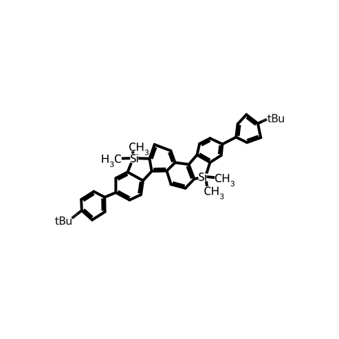 CC(C)(C)c1ccc(-c2ccc3c(c2)[Si](C)(C)c2ccc4c5c(ccc4c2-3)[Si](C)(C)c2cc(-c3ccc(C(C)(C)C)cc3)ccc2-5)cc1